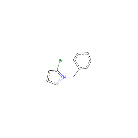 Brc1cccn1Cc1ccccc1